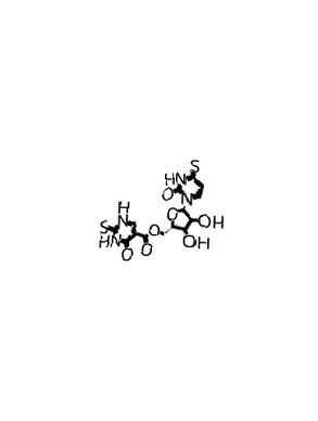 O=C(OC[C@@H]1O[C@H](n2ccc(=S)[nH]c2=O)C(O)C1O)c1c[nH]c(=S)[nH]c1=O